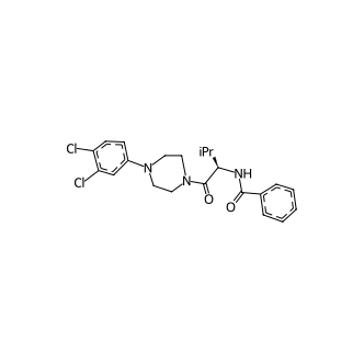 CC(C)[C@@H](NC(=O)c1ccccc1)C(=O)N1CCN(c2ccc(Cl)c(Cl)c2)CC1